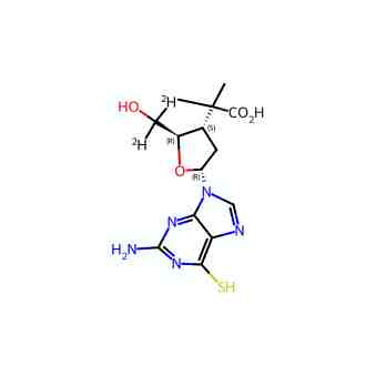 [2H]C([2H])(O)[C@@H]1O[C@@H](n2cnc3c(S)nc(N)nc32)C[C@H]1C(C)(C)C(=O)O